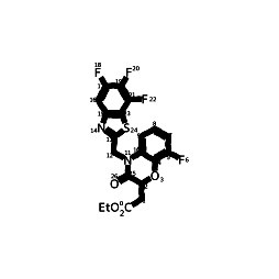 CCOC(=O)CC1Oc2c(F)cccc2N(Cc2nc3cc(F)c(F)c(F)c3s2)C1=O